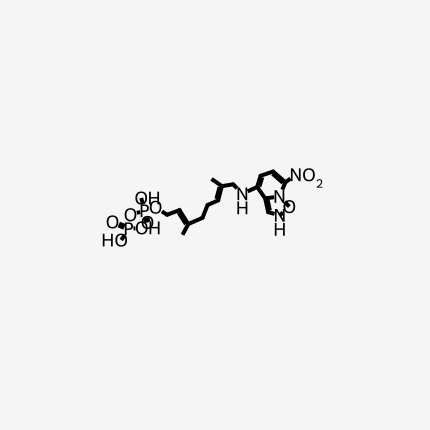 CC(=CCOP(=O)(O)OP(=O)(O)O)CCC=C(C)CNC1=CC=C([N+](=O)[O-])N2ONC=C12